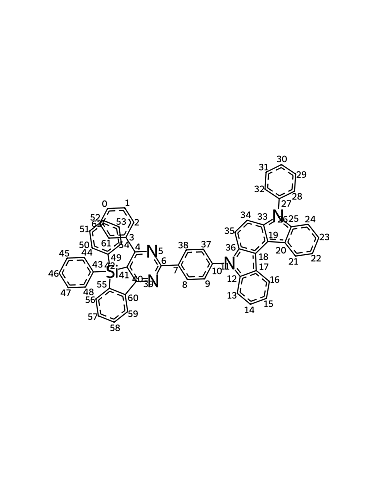 c1ccc(-c2nc(-c3ccc(-n4c5ccccc5c5c6c7ccccc7n(-c7ccccc7)c6ccc54)cc3)nc3c2[Si](c2ccccc2)(c2ccccc2)c2ccccc2-3)cc1